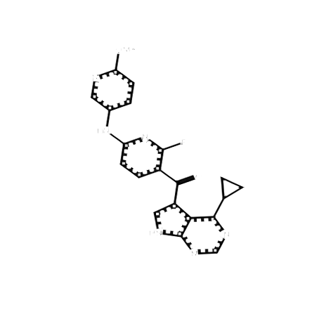 COc1ccc(Nc2ccc(C(=O)c3c[nH]c4ncnc(C5CC5)c34)c(F)n2)cn1